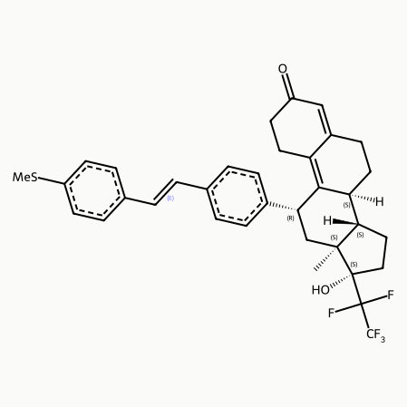 CSc1ccc(/C=C/c2ccc([C@H]3C[C@@]4(C)[C@@H](CC[C@@]4(O)C(F)(F)C(F)(F)F)[C@@H]4CCC5=CC(=O)CCC5=C43)cc2)cc1